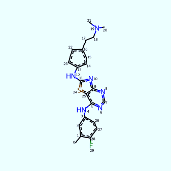 Cc1cc(Nc2ncnc3nc(Nc4ccc(CCN(C)C)cc4)sc23)ccc1F